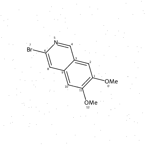 COc1cc2cnc(Br)cc2cc1OC